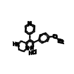 CCOc1ccc(-c2nn3c(c2-c2ccncc2)CNCC3)cc1.Cl